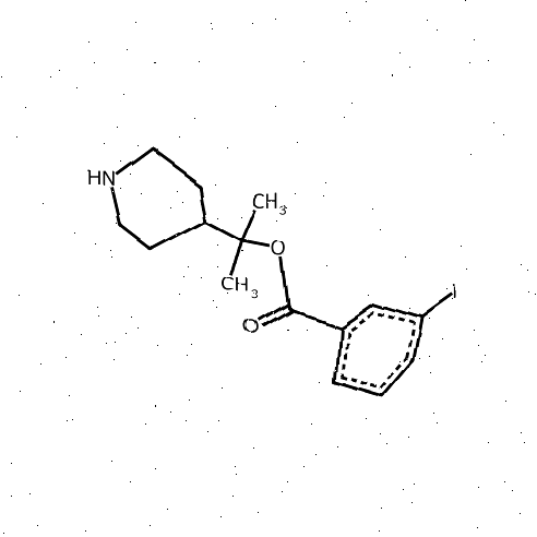 CC(C)(OC(=O)c1cccc(I)c1)C1CCNCC1